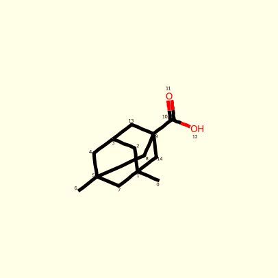 CC12CC3CC(C)(C1)CC(C(=O)O)(C3)C2